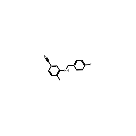 Cc1ccc(C#N)cc1NCc1ccc(F)cc1